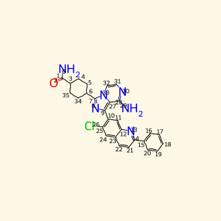 NC(=O)C1CCC(c2nc(-c3cc4nc(-c5ccccc5)ccc4cc3Cl)c3c(N)nccn23)CC1